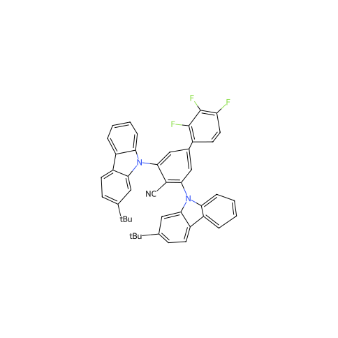 CC(C)(C)c1ccc2c3ccccc3n(-c3cc(-c4ccc(F)c(F)c4F)cc(-n4c5ccccc5c5ccc(C(C)(C)C)cc54)c3C#N)c2c1